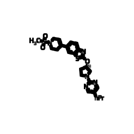 CCCc1cnc(N2CC[C@H](Oc3nc4ccc(C5=CCN(S(C)(=O)=O)CC5)cc4s3)C2)nc1